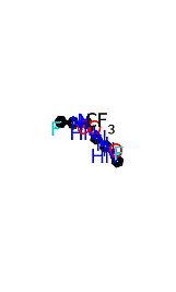 O=C(Nc1ccc(N2CCN(C(=O)Nc3ccccc3F)CC2)nc1)c1oc(N2CCC(c3cccc(F)c3)CC2)nc1C(F)(F)F